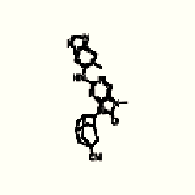 Cc1cc2ncnn2cc1Nc1ncc2c(n1)n(C1C3CC4CC1CC(C#N)(C4)C3)c(=O)n2C